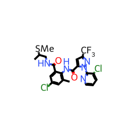 CSC(C)CNC(=O)c1cc(Cl)cc(C)c1NC(=O)c1cc(C(F)(F)F)nn1-c1ncccc1Cl